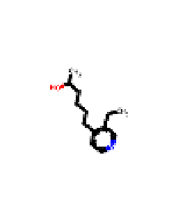 CCc1cnccc1CCCCC(C)O